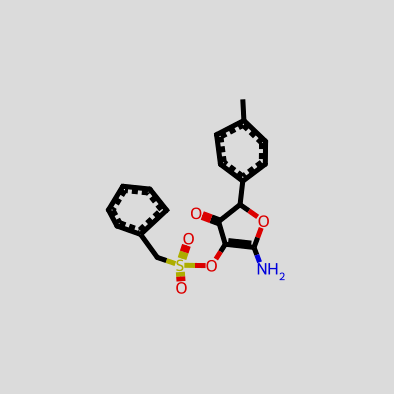 Cc1ccc(C2OC(N)=C(OS(=O)(=O)Cc3ccccc3)C2=O)cc1